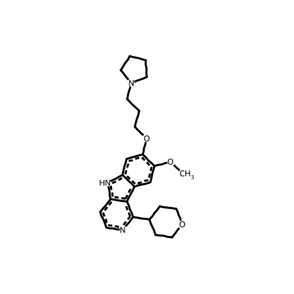 COc1cc2c(cc1OCCCN1CCCC1)[nH]c1ccnc(C3CCOCC3)c12